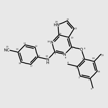 Cc1cc(C)c(Oc2nc(Nc3ccc(C#N)cc3)nc3[nH]ccc23)c(C)c1